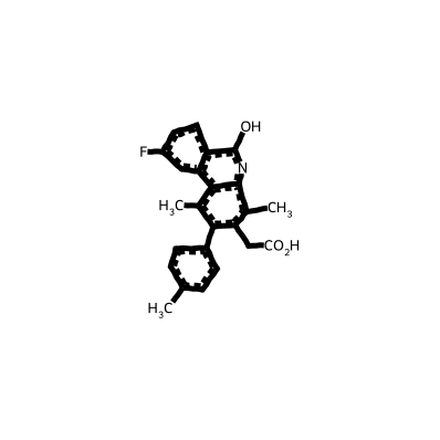 Cc1ccc(-c2c(CC(=O)O)c(C)c3nc(O)c4ccc(F)cc4c3c2C)cc1